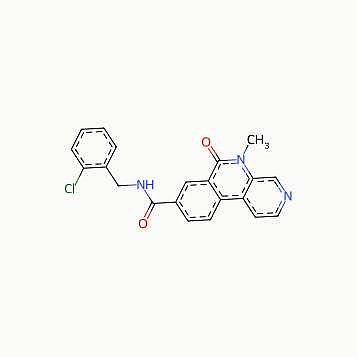 Cn1c(=O)c2cc(C(=O)NCc3ccccc3Cl)ccc2c2ccncc21